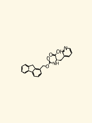 O=C(N[C@H](Cc1cccnc1)C(=O)O)OCc1cccc2c1Cc1ccccc1-2